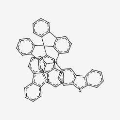 c1ccc2c(c1)-c1cc3ccccc3cc1C21c2ccccc2-c2cccc(N(c3ccc4sc5ccccc5c4c3)c3cccc4c3oc3ccccc34)c21